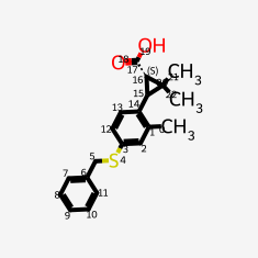 Cc1cc(SCc2ccccc2)ccc1C1[C@H](C(=O)O)C1(C)C